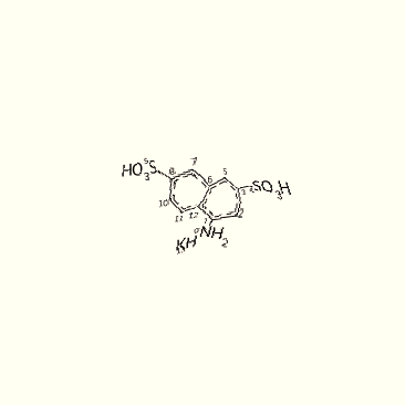 Nc1cc(S(=O)(=O)O)cc2cc(S(=O)(=O)O)ccc12.[KH]